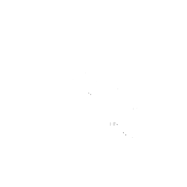 Cc1cc(C)c2c(=O)c(C(=O)NN)cn3c2c1C1CCCCC13